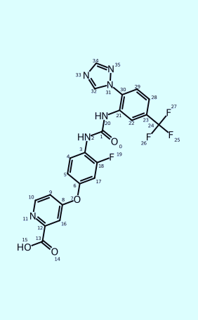 O=C(Nc1ccc(Oc2ccnc(C(=O)O)c2)cc1F)Nc1cc(C(F)(F)F)ccc1-n1cncn1